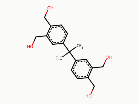 OCc1ccc(C(c2ccc(CO)c(CO)c2)(C(F)(F)F)C(F)(F)F)cc1CO